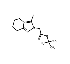 CC(C)(C)OC(=O)Cn1nc2c(c1I)CCCC2